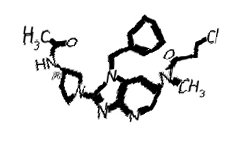 CC(=O)N[C@@H]1CCN(c2nc3ncc(N(C)C(=O)CCCl)cc3n2Cc2ccccc2)C1